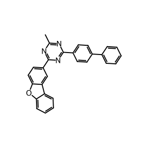 Cc1nc(-c2ccc(-c3ccccc3)cc2)nc(-c2ccc3oc4ccccc4c3c2)n1